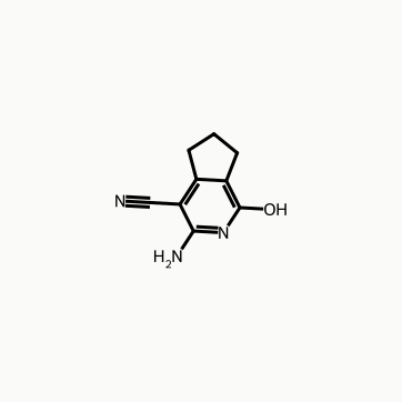 N#Cc1c(N)nc(O)c2c1CCC2